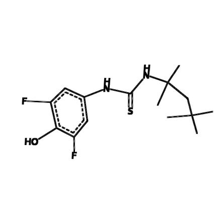 CC(C)(C)CC(C)(C)NC(=S)Nc1cc(F)c(O)c(F)c1